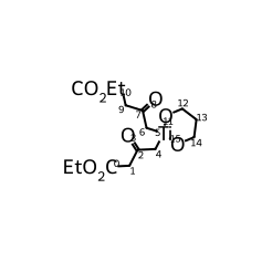 CCOC(=O)CC(=O)[CH2][Ti]1([CH2]C(=O)CC(=O)OCC)[O]CCC[O]1